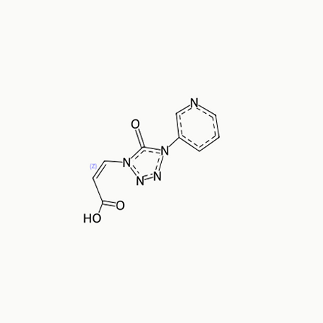 O=C(O)/C=C\n1nnn(-c2cccnc2)c1=O